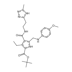 CCc1c(C(=O)OC(C)(C)C)[nH]c(CNc2ccc(OC)cc2)c1C(=O)NCCc1nnc(C)[nH]1